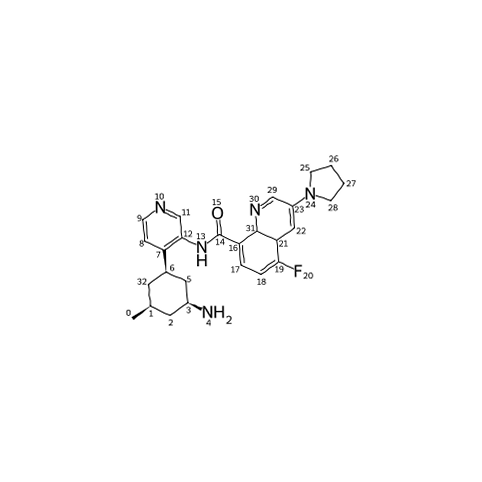 C[C@@H]1C[C@H](N)C[C@H](c2ccncc2NC(=O)C2=CC=C(F)C3C=C(N4CCCC4)C=NC23)C1